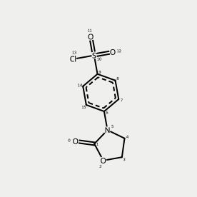 O=C1OCCN1c1ccc(S(=O)(=O)Cl)cc1